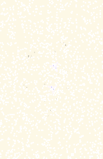 CC1(N(CCC#N)CCC#N)CCCCC1N(CCC#N)CCC#N